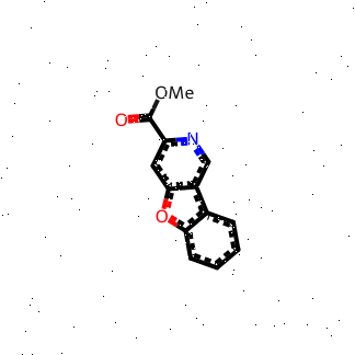 COC(=O)c1cc2oc3ccccc3c2cn1